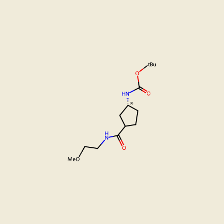 COCCNC(=O)C1CC[C@@H](NC(=O)OC(C)(C)C)C1